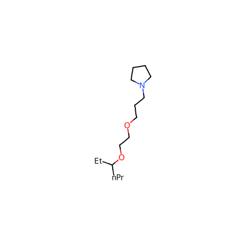 CCCC(CC)OCCOCCCN1CCCC1